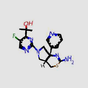 CC(C)(O)c1nc(N2C[C@H]3CSC(N)=N[C@@]3(c3cccnc3)C2)ncc1F